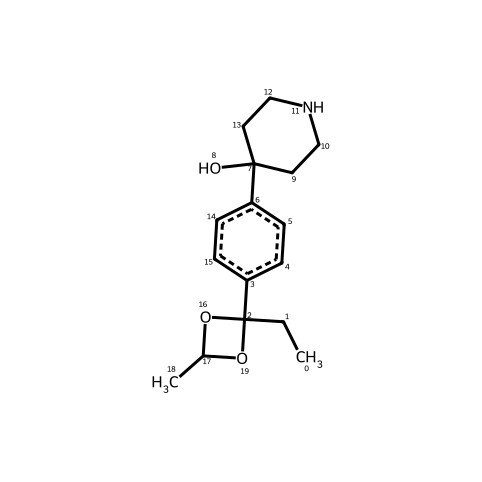 CCC1(c2ccc(C3(O)CCNCC3)cc2)OC(C)O1